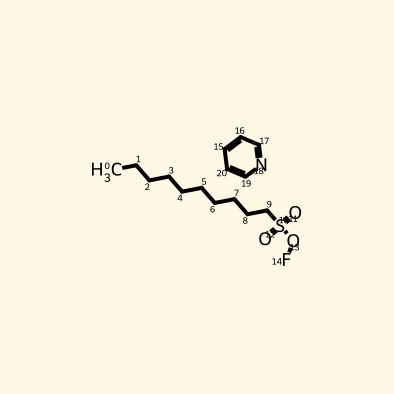 CCCCCCCCCCS(=O)(=O)OF.c1ccncc1